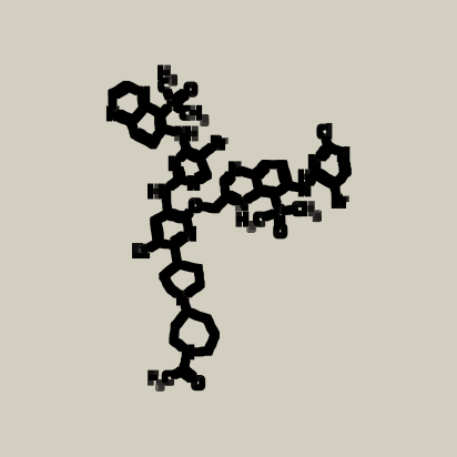 CCc1cc(Nc2ncc(Br)c(Nc3ccc4nccnc4c3P(C)(C)=O)n2)c(OCc2cnc3ccc(Nc4nc(Cl)ncc4Br)c(P(C)(C)=O)c3n2)nc1C1CCN(C2CCCN(C(=O)C(F)(F)F)CC2)CC1